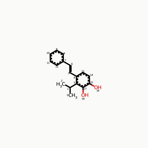 CC(C)c1c(C=Cc2ccccc2)ccc(O)c1O